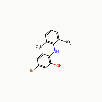 O=[N+]([O-])c1cccc([N+](=O)[O-])c1Nc1ccc(Br)cc1O